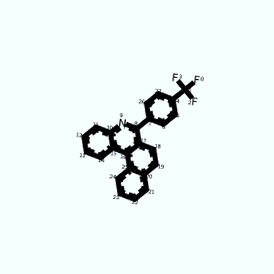 FC(F)(F)c1ccc(-c2nc3ccccc3c3c2ccc2ccccc23)cc1